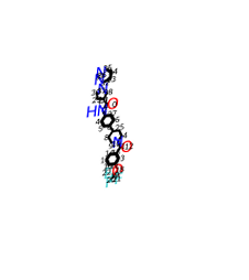 O=C(Nc1ccc(C2CCN(C(=O)c3cccc(OC(F)(F)F)c3)CC2)cc1)[C@H]1CCN(c2cccnn2)C1